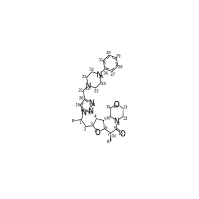 CC(CC1CCC([C@H](C)C(=O)N2CCOCC2)O1)n1cc(CN2CCN(c3ccccc3)CC2)nn1